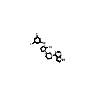 OC1[C@@H](Nc2cc(Cl)cc(Cl)c2)CCN1[C@@H]1CCCN(c2ncnc3[nH]ccc23)C1